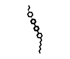 CCCCCCCC1CC=C(c2ccc(-c3ccc([C@H]4CC[C@H](CCC)CC4)cc3)cc2)CC1